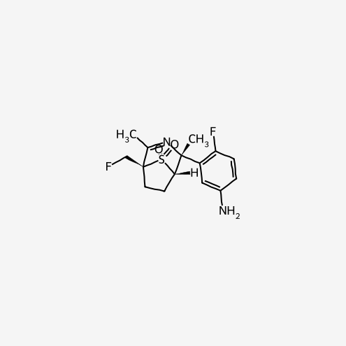 CC1=N[C@](C)(c2cc(N)ccc2F)[C@@H]2CC[C@@]1(CF)S2(=O)=O